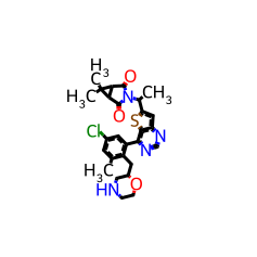 Cc1cc(Cl)cc(-c2ncnc3cc(C(C)N4C(=O)C5C(C4=O)C5(C)C)sc23)c1CC1CNCCO1